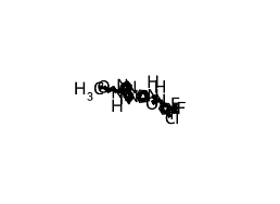 COCCNc1ncnc2c1ncn2-c1ccc(NC(=O)Nc2ccc(Cl)c(C(F)(F)F)c2)cc1